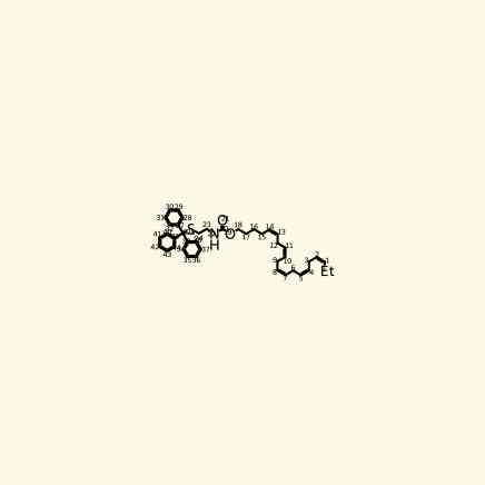 CC/C=C\C/C=C\C/C=C\C/C=C\C/C=C\CCCCOC(=O)NCCSC(c1ccccc1)(c1ccccc1)c1ccccc1